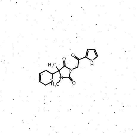 CN1C(=O)N(CC(=O)c2ccc[nH]2)C(=O)C1(C)C1CC=CCC1